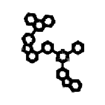 c1ccc(-c2nc(-c3cccc(-c4cccc5sc6ccc(-c7cc8ccccc8c8ccccc78)cc6c45)c3)nc(-c3ccc4sc5ccccc5c4c3)n2)cc1